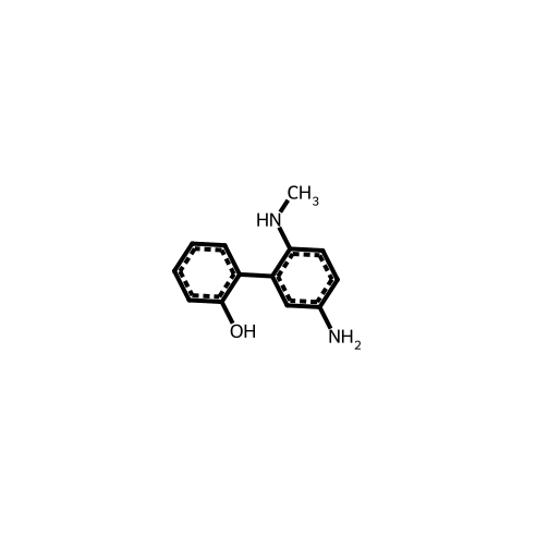 CNc1ccc(N)cc1-c1ccccc1O